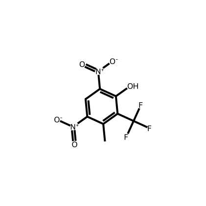 Cc1c([N+](=O)[O-])cc([N+](=O)[O-])c(O)c1C(F)(F)F